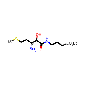 CCOC(=O)CCCNC(=O)C(O)[C@H](N)CCSCC